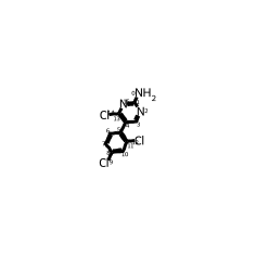 Nc1ncc(-c2ccc(Cl)cc2Cl)c(Cl)n1